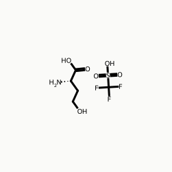 N[C@@H](CCO)C(=O)O.O=S(=O)(O)C(F)(F)F